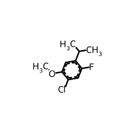 COc1cc(C(C)C)c(F)cc1Cl